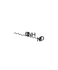 CCCCCCCCCCCCCCCCCCN=C=O.N=C=O